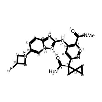 CNC(=O)c1nnc([C@@]2(C(N)=O)CC23CC3)cc1Nc1nc2ccc(N3CC(F)C3)cn2n1